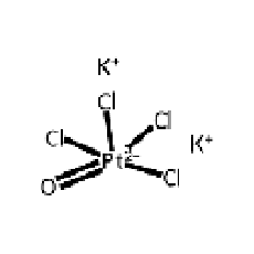 [K+].[K+].[O]=[Pt-2]([Cl])([Cl])([Cl])[Cl]